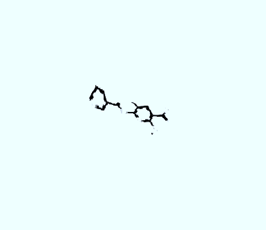 CCNc1nc(NC(=O)c2cccnc2)c(Cl)cc1C(N)=O